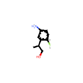 C[C](CO)c1cc(N)ccc1F